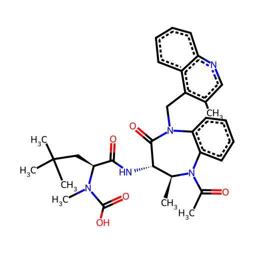 CC(=O)N1c2ccccc2N(Cc2c(C)cnc3ccccc23)C(=O)[C@@H](NC(=O)[C@H](CC(C)(C)C)N(C)C(=O)O)[C@@H]1C